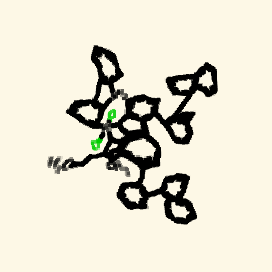 CCCC1=Cc2c(-c3ccccc3-c3cccc4ccccc34)cccc2[CH]1[Hf]([Cl])([Cl])([c]1cccc2c1[SiH2]c1ccccc1-2)[CH]1C(CCC)=Cc2c(-c3ccccc3-c3cccc4ccccc34)cccc21